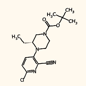 CC[C@@H]1CN(C(=O)OC(C)(C)C)CCN1c1ccc(Cl)nc1C#N